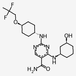 CC(F)(F)CO[C@H]1CC[C@H](Nc2ncc(C(N)=O)c(N[C@@H]3CCC[C@H](O)C3)n2)CC1